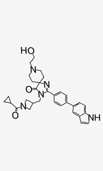 O=C(C1CC1)N1CC(CN2C(=O)C3(CCN(CCO)CC3)N=C2c2ccc(-c3ccc4[nH]ccc4c3)cc2)C1